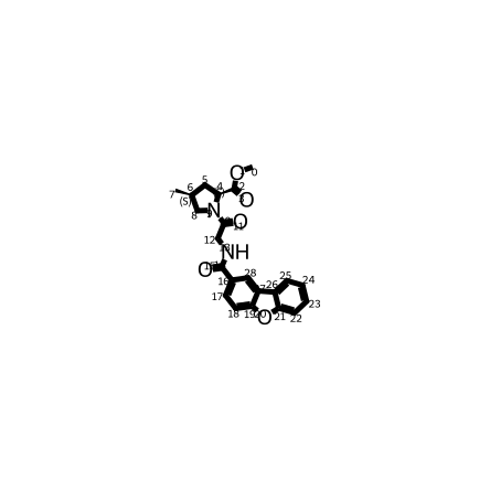 COC(=O)[C@@H]1C[C@H](C)CN1C(=O)CNC(=O)c1ccc2oc3ccccc3c2c1